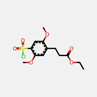 CCOC(=O)CCc1cc(OC)c(S(=O)(=O)Cl)cc1OC